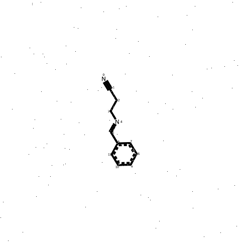 N#CCCN=Cc1ccccc1